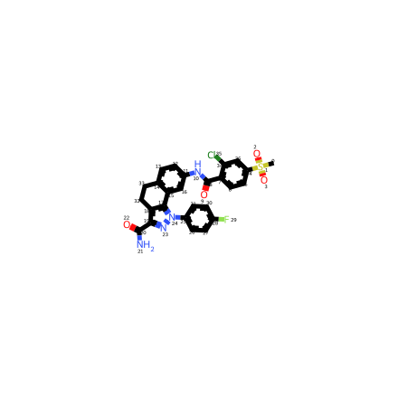 CS(=O)(=O)c1ccc(C(=O)Nc2ccc3c(c2)-c2c(c(C(N)=O)nn2-c2ccc(F)cc2)CC3)c(Cl)c1